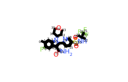 Cc1cc2c(cc1F)c(C(N)=O)c(-c1ccc(S(=O)(=O)NC(C)(C)C(F)(F)F)cn1)n2C1CCOCC1